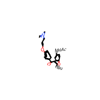 CCCCc1oc2ccc(NC(C)=O)cc2c1C(=O)c1ccc(OCCCN(C)C)cc1